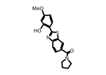 COc1ccc(-c2nc3ccc(C(=O)N4CCCC4)cc3s2)c(O)c1